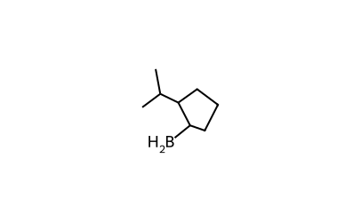 BC1CCCC1C(C)C